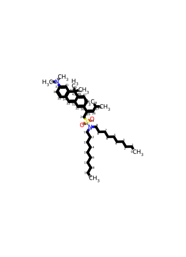 CCCCCCCCCCN(CCCCCCCCCC)S(=O)(=O)C/C(=C/C(C)C)C1=CC2=Cc3ccc(N(C)C)cc3C(C)(C)C2=CC1